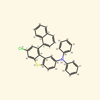 Clc1cc(-c2cccc3ccccc23)c2c(c1)sc1ccc(N(c3ccccc3)c3ccccc3)cc12